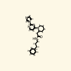 O=C(CC1CCCCN1c1ccnc(-n2ccnc2)n1)NCCCc1ccccc1